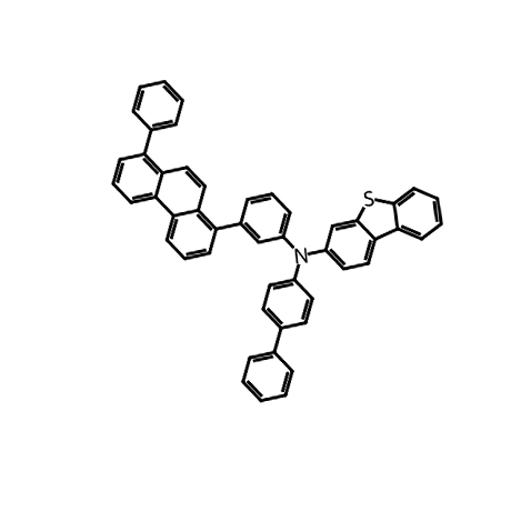 c1ccc(-c2ccc(N(c3cccc(-c4cccc5c4ccc4c(-c6ccccc6)cccc45)c3)c3ccc4c(c3)sc3ccccc34)cc2)cc1